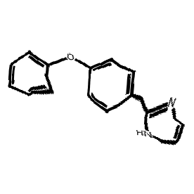 c1ccc(Oc2ccc(-c3ncc[nH]3)cc2)cc1